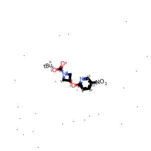 CC(C)(C)OC(=O)N1CC(Oc2ccc([N+](=O)[O-])cn2)C1